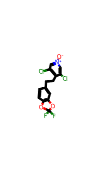 [O-][n+]1cc(Cl)c(CCc2ccc3c(c2)OC(F)(F)O3)c(Cl)c1